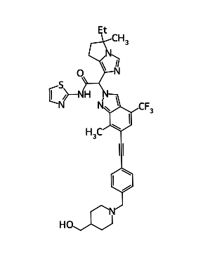 CCC1(C)CCc2c(C(C(=O)Nc3nccs3)n3cc4c(C(F)(F)F)cc(C#Cc5ccc(CN6CCC(CO)CC6)cc5)c(C)c4n3)ncn21